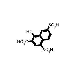 O=C(O)c1cc(S(=O)(=O)O)c2ccc(S(=O)(=O)O)cc2c1O